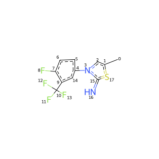 Cc1cn(-c2ccc(F)c(C(F)(F)F)c2)c(=N)s1